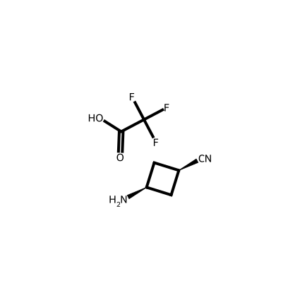 N#C[C@H]1C[C@@H](N)C1.O=C(O)C(F)(F)F